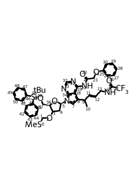 CSCOC1C[C@H](n2cc(C(C)/C=C/CNC(=O)C(F)(F)F)c3c(NC(=O)COc4ccccc4)ncnc32)O[C@@H]1CO[Si](c1ccccc1)(c1ccccc1)C(C)(C)C